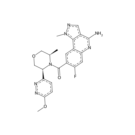 COc1ccc([C@H]2COC[C@@H](C)N2C(=O)c2cc3c(cc2F)nc(N)c2cnn(C)c23)nn1